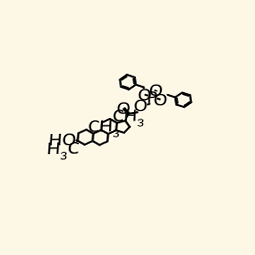 C[C@@]1(O)CC[C@@]2(C)C(CCC3C2CC[C@@]2(C)C3CC[C@@H]2C(=O)COCP(=O)(OCc2ccccc2)OCc2ccccc2)C1